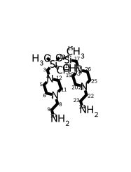 C[Si](C)(CN1CCN(CCN)CC1)O[Si](C)(C)CN1CCN(CCN)CC1